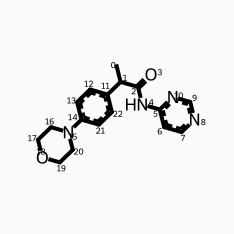 CC(C(=O)Nc1ccncn1)c1ccc(N2CCOCC2)cc1